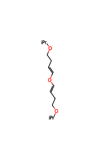 CC(C)OCCC=COC=CCCOC(C)C